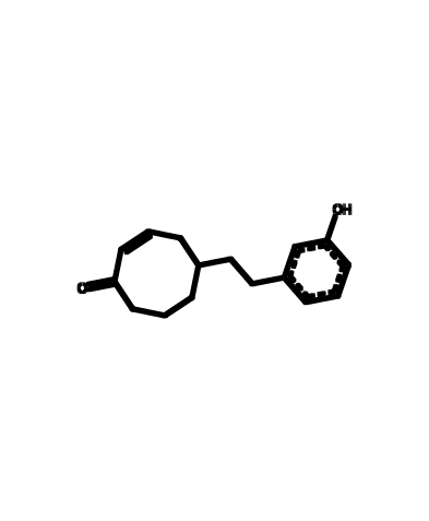 O=C1/C=C\CC(CCc2cccc(O)c2)CCC1